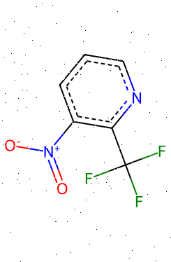 O=[N+]([O-])c1cccnc1C(F)(F)F